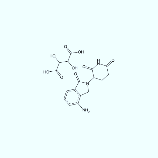 Nc1cccc2c1CN(C1CCC(=O)NC1=O)C2=O.O=C(O)C(O)C(O)C(=O)O